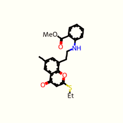 CCSc1cc(=O)c2cc(C)cc(CCNc3ccccc3C(=O)OC)c2o1